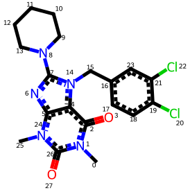 Cn1c(=O)c2c(nc(N3CCCCC3)n2Cc2ccc(Cl)c(Cl)c2)n(C)c1=O